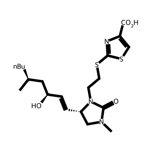 CCCC[C@H](C)C[C@H](O)/C=C/[C@H]1CN(C)C(=O)N1CCSc1nc(C(=O)O)cs1